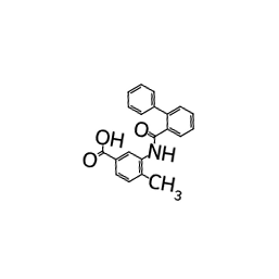 Cc1ccc(C(=O)O)cc1NC(=O)c1ccccc1-c1ccccc1